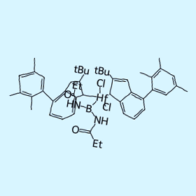 CCC(=O)N[B](NC(=O)CC)[Hf]([Cl])([Cl])([CH]1C(C(C)(C)C)=Cc2c(-c3cc(C)cc(C)c3C)cccc21)[CH]1C(C(C)(C)C)=Cc2c(-c3cc(C)cc(C)c3C)cccc21